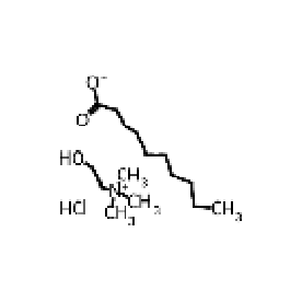 CCCCCCCCCC(=O)[O-].C[N+](C)(C)CCO.Cl